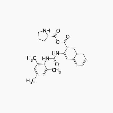 Cc1cc(C)c(NC(=O)Nc2cc3ccccc3cc2C(=O)OC(=O)[C@H]2CCCN2)c(C)c1